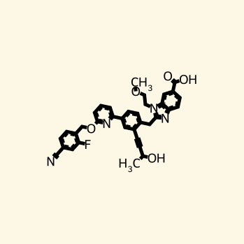 COCCn1c(Cc2ccc(-c3cccc(OCc4ccc(C#N)cc4F)n3)cc2C#CC(C)O)nc2ccc(C(=O)O)cc21